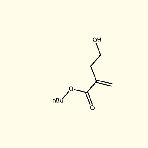 C=C(CCO)C(=O)OCCCC